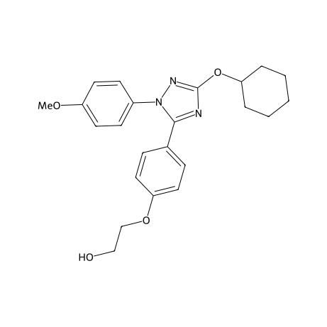 COc1ccc(-n2nc(OC3CCCCC3)nc2-c2ccc(OCCO)cc2)cc1